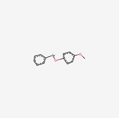 COc1ccc(O[Se]c2ccccc2)cc1